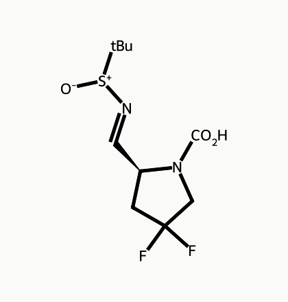 CC(C)(C)[S+]([O-])/N=C/[C@@H]1CC(F)(F)CN1C(=O)O